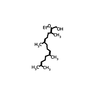 CCOC(CO)=C(C)CCC=C(C)CCC=C(C)CCC=C(C)C